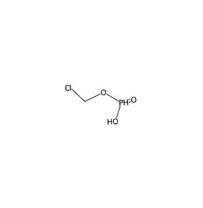 O=[PH](O)OCCl